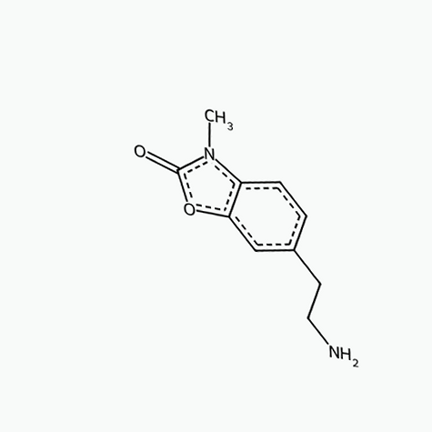 Cn1c(=O)oc2cc(CCN)ccc21